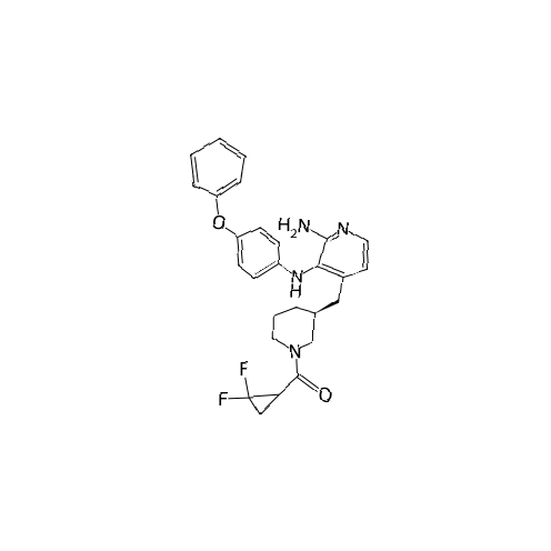 Nc1nccc(C[C@@H]2CCCN(C(=O)C3CC3(F)F)C2)c1Nc1ccc(Oc2ccccc2)cc1